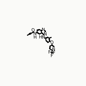 CC#CC(=O)Nc1ccc2ncnc(Nc3ccc(Oc4ccc(C(F)(F)F)nc4)c(C)c3)c2c1